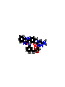 CN(C)CCN(Cc1ccc(C(=O)Nc2ccccc2N)cc1)C(=O)NC1=COC(Cc2ccccc2)O1